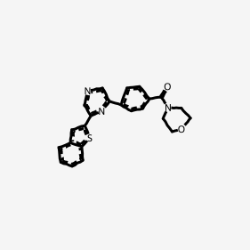 O=C(c1ccc(-c2cncc(-c3cc4ccccc4s3)n2)cc1)N1CCOCC1